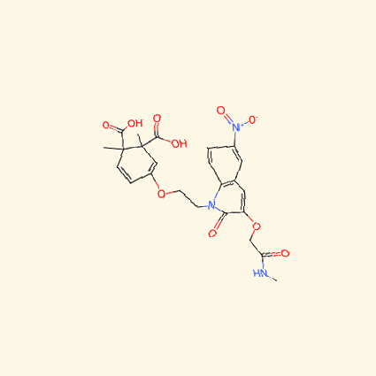 CNC(=O)COc1cc2cc([N+](=O)[O-])ccc2n(CCOC2=CC(C)(C(=O)O)C(C)(C(=O)O)C=C2)c1=O